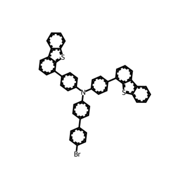 Brc1ccc(-c2ccc(N(c3ccc(-c4cccc5c4sc4ccccc45)cc3)c3ccc(-c4cccc5c4sc4ccccc45)cc3)cc2)cc1